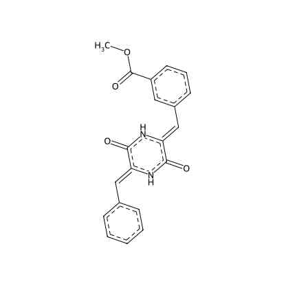 COC(=O)c1cccc(/C=c2\[nH]c(=O)/c(=C/c3ccccc3)[nH]c2=O)c1